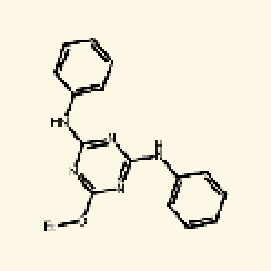 CCOc1nc(Nc2ccccc2)nc(Nc2ccccc2)n1